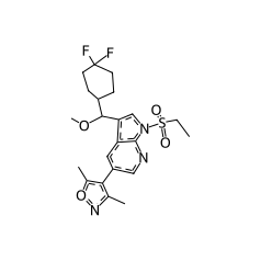 CCS(=O)(=O)n1cc(C(OC)C2CCC(F)(F)CC2)c2cc(-c3c(C)noc3C)cnc21